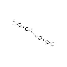 OCCN(CCO)c1ccc(/C=C/c2cc[n+](CCSSCC[n+]3ccc(/C=C/c4ccc(N(CCO)CCO)cc4)cc3)cc2)cc1